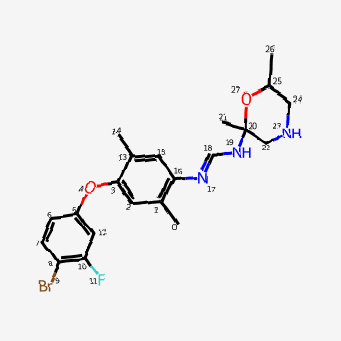 Cc1cc(Oc2ccc(Br)c(F)c2)c(C)cc1/N=C/NC1(C)CNCC(C)O1